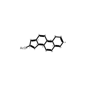 CC(=O)OC1=Cc2c(ccc3c4c(ccc23)=CC=CC4)=C1